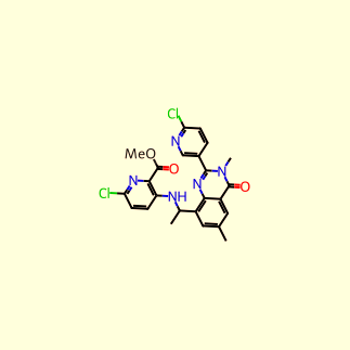 COC(=O)c1nc(Cl)ccc1NC(C)c1cc(C)cc2c(=O)n(C)c(-c3ccc(Cl)nc3)nc12